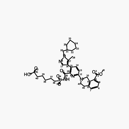 COC(=O)c1cccc2c1CN(c1ccc(-c3cnn(CC4CCCCC4)c3C)c(C(=O)NS(=O)(=O)CCCCCC(=O)O)n1)CC2